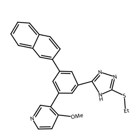 CCSc1nnc(-c2cc(-c3ccc4ccccc4c3)cc(-c3cnccc3OC)c2)[nH]1